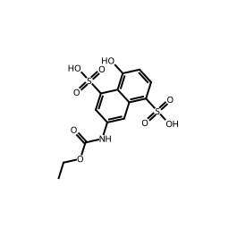 CCOC(=O)Nc1cc(S(=O)(=O)O)c2c(O)ccc(S(=O)(=O)O)c2c1